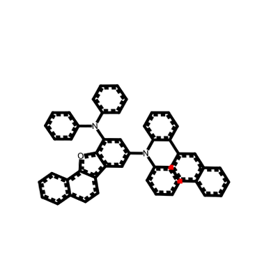 c1ccc(N(c2cc(N(c3ccccc3)c3ccccc3)c3oc4c5ccccc5ccc4c3c2)c2ccccc2-c2ccc3ccccc3c2)cc1